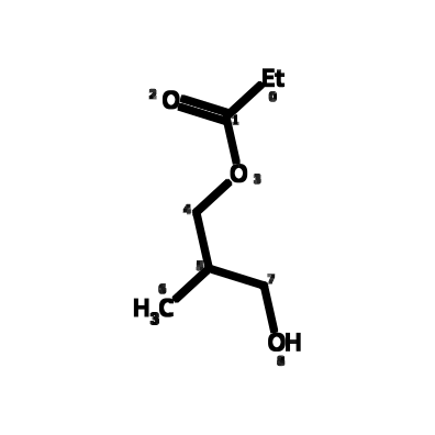 CCC(=O)OCC(C)CO